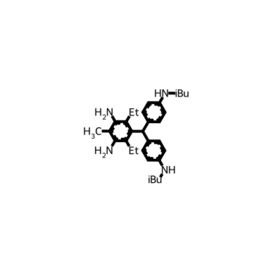 CCc1c(N)c(C)c(N)c(CC)c1C(c1ccc(NC(C)CC)cc1)c1ccc(NC(C)CC)cc1